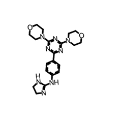 c1cc(-c2nc(N3CCOCC3)nc(N3CCOCC3)n2)ccc1NC1=NCCN1